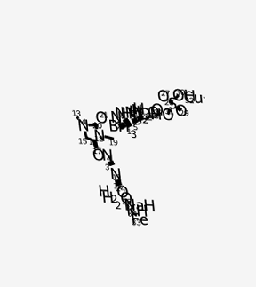 B.C#N.C#N.C#N.C#N.C#N.C#N.CN1CC(=O)N(C)C1=O.O.O.O.O.O.O=S(=O)(O)O.[Cu].[Fe].[KH].[NaH]